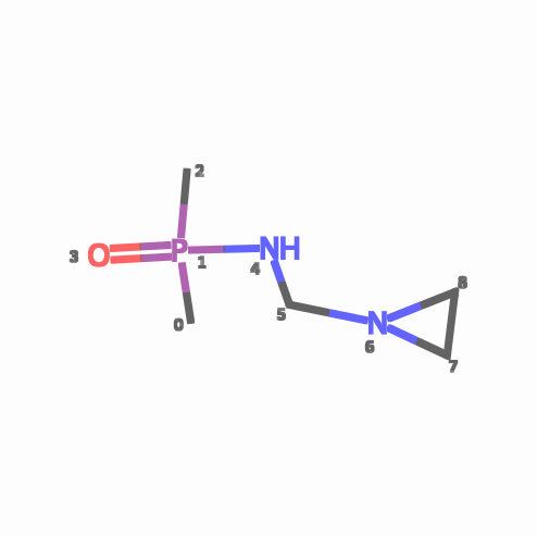 CP(C)(=O)NCN1CC1